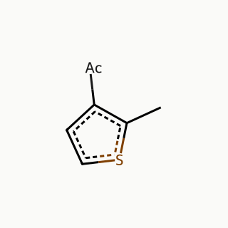 CC(=O)c1ccsc1C